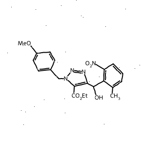 CCOC(=O)c1c(C(O)c2c(C)cccc2[N+](=O)[O-])nnn1Cc1ccc(OC)cc1